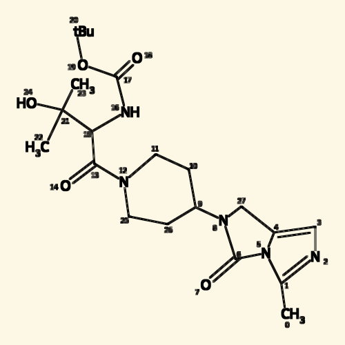 Cc1ncc2n1C(=O)N(C1CCN(C(=O)C(NC(=O)OC(C)(C)C)C(C)(C)O)CC1)C2